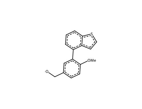 COc1ccc(C[O])cc1-c1cccc2sccc12